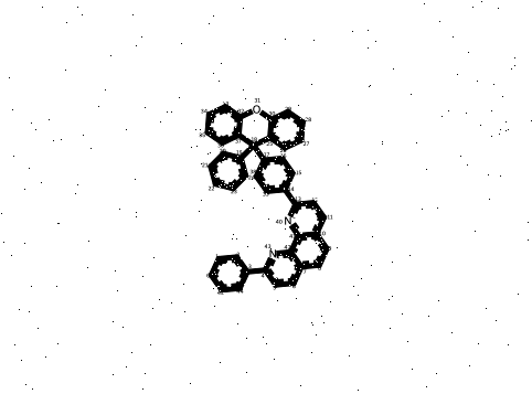 c1ccc(-c2ccc3ccc4ccc(-c5ccc(C6(c7ccccc7)c7ccccc7Oc7ccccc76)cc5)nc4c3n2)cc1